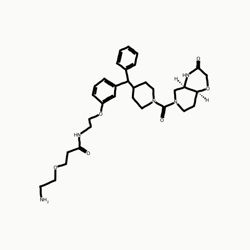 NCCOCCC(=O)NCCOc1cccc(C(c2ccccc2)C2CCN(C(=O)N3CC[C@@H]4OCC(=O)N[C@@H]4C3)CC2)c1